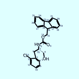 O=C(N[C@H](CO)Cc1ccccc1Cl)OCC1c2ccccc2-c2ccccc21